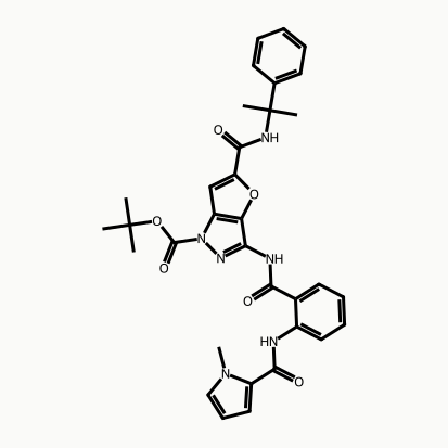 Cn1cccc1C(=O)Nc1ccccc1C(=O)Nc1nn(C(=O)OC(C)(C)C)c2cc(C(=O)NC(C)(C)c3ccccc3)oc12